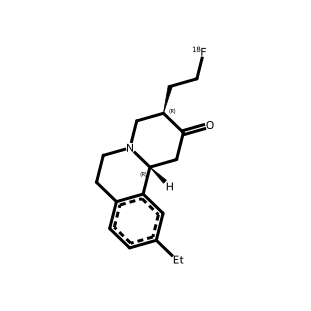 CCc1ccc2c(c1)[C@H]1CC(=O)[C@H](CC[18F])CN1CC2